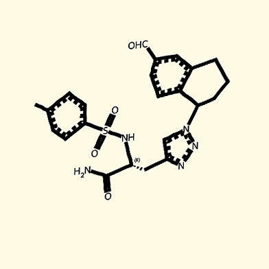 Cc1ccc(S(=O)(=O)N[C@H](Cc2cn(C3CCCc4cc(C=O)ccc43)nn2)C(N)=O)cc1